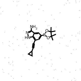 CC1(C)OB(c2cc(C#CC3CC3)c3[nH]nc(N)c3c2)OC1(C)C